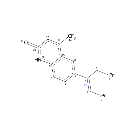 CC(C)/C=C(\CC(C)C)c1ccc2[nH]c(=O)cc(C(F)(F)F)c2c1